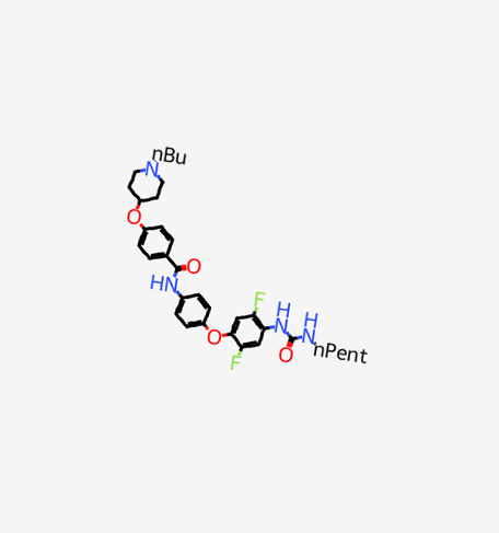 CCCCCNC(=O)Nc1cc(F)c(Oc2ccc(NC(=O)c3ccc(OC4CCN(CCCC)CC4)cc3)cc2)cc1F